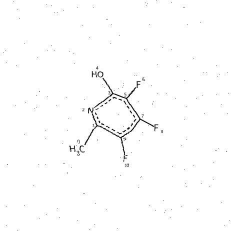 Cc1nc(O)c(F)c(F)c1F